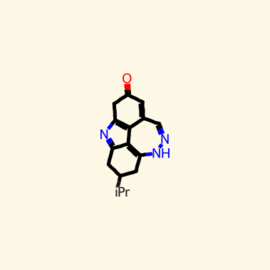 CC(C)C1CC2=NC3=C4C(=CC(=O)C3)C=NNC(=C24)C1